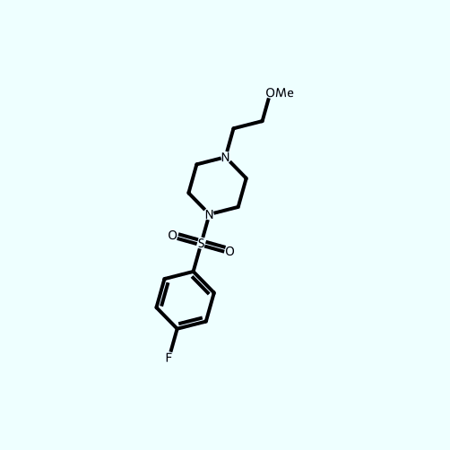 COCCN1CCN(S(=O)(=O)c2ccc(F)cc2)CC1